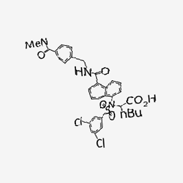 CCCCC(C(=O)O)N(c1cccc2c(C(=O)NCc3ccc(C(=O)NC)cc3)cccc12)S(=O)(=O)c1cc(Cl)cc(Cl)c1